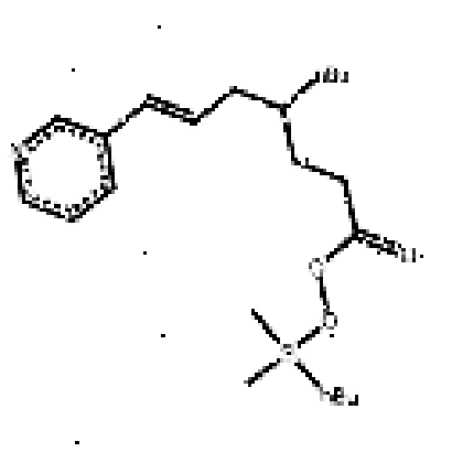 CCCCC(CC=Cc1cccnc1)CCC(=O)OO[Si](C)(C)CCCC